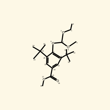 CCOC(OC)Oc1c(C(C)(C)C)cc(C(=O)OC)cc1C(C)(C)C